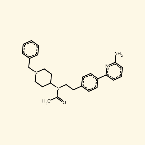 CC(=O)N(CCc1ccc(-c2cccc(N)n2)cc1)C1CCN(Cc2ccccc2)CC1